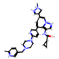 Cc1ccc(CN2CCN(c3ccc(-c4cc(-c5cnn(C)c5)cn5ncc(NC(=O)C6CC6)c45)cn3)CC2)cn1